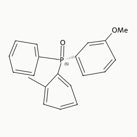 COc1cccc([P@@](=O)(c2ccccc2)c2ccccc2C)c1